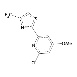 COc1cc(Cl)nc(-c2nc(C(F)(F)F)cs2)c1